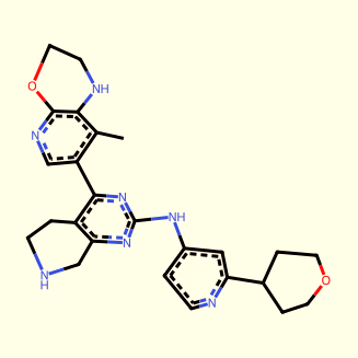 Cc1c(-c2nc(Nc3ccnc(C4CCOCC4)c3)nc3c2CCNC3)cnc2c1NCCO2